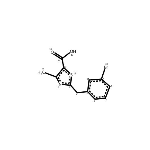 Cc1nc(Cc2cccc(Br)c2)sc1C(=O)O